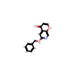 O=c1ccoc2cnc(OCc3ccccc3)cc12